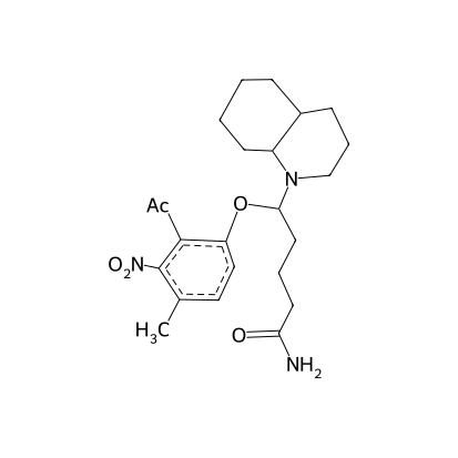 CC(=O)c1c(OC(CCCC(N)=O)N2CCCC3CCCCC32)ccc(C)c1[N+](=O)[O-]